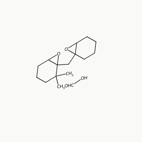 CC1(C)CCCC2OC21CC12CCCCC1O2.O=CO